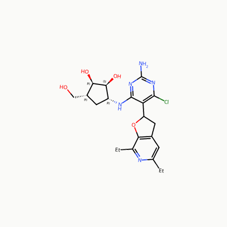 CCc1cc2c(c(CC)n1)OC(c1c(Cl)nc(N)nc1N[C@@H]1C[C@H](CO)[C@@H](O)[C@H]1O)C2